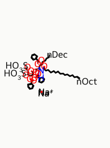 CCCCCCCC/C=C\CCCCCCCCCCCCCC(=O)N[C@@H](CO[C@@H]1O[C@H](COS(=O)(=O)O)[C@H](OS(=O)(=O)O)[C@H](OC(=O)c2ccccc2)[C@H]1OC(=O)c1ccccc1)[C@@H](/C=C/CCCCCCCCCCCCC)OC(=O)c1ccccc1.[Na+].[Na+]